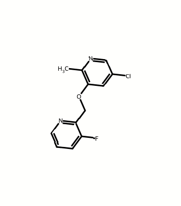 Cc1ncc(Cl)cc1OCc1ncccc1F